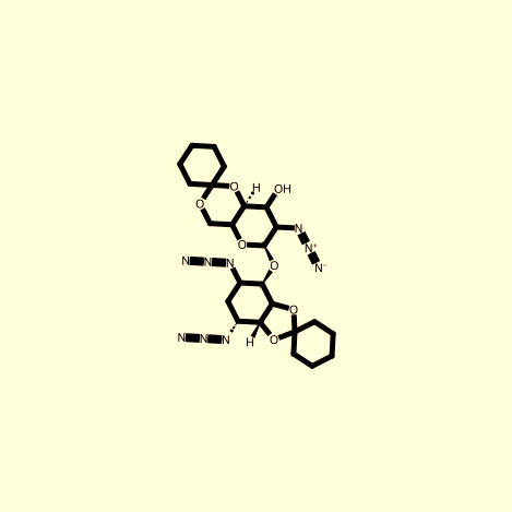 [N-]=[N+]=NC1C(O)[C@@H]2OC3(CCCCC3)OCC2O[C@@H]1O[C@@H]1C(N=[N+]=[N-])C[C@@H](N=[N+]=[N-])[C@H]2OC3(CCCCC3)OC12